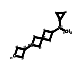 CN(C1CC1)C1CC2(C1)CN(C1COC1)C2